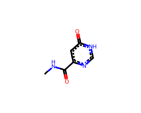 CNC(=O)c1cc(=O)[nH]cn1